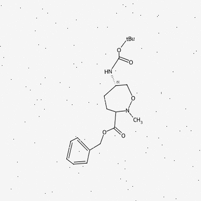 CN1OC[C@@H](NC(=O)OC(C)(C)C)CCC1C(=O)OCc1ccccc1